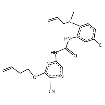 C=CCCOc1nc(NC(=O)Nc2cc(Cl)ccc2N(C)CC=C)cnc1C#N